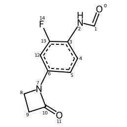 O=CNc1ccc(N2CCC2=O)cc1F